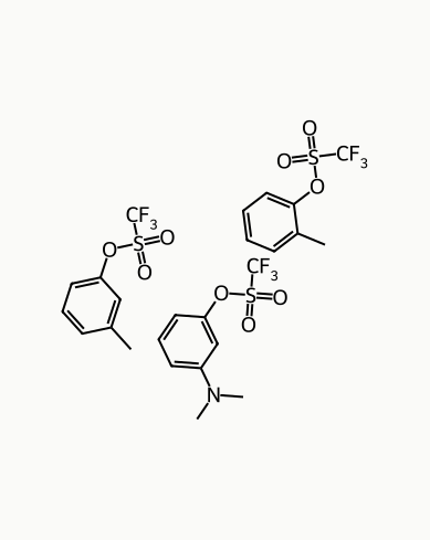 CN(C)c1cccc(OS(=O)(=O)C(F)(F)F)c1.Cc1cccc(OS(=O)(=O)C(F)(F)F)c1.Cc1ccccc1OS(=O)(=O)C(F)(F)F